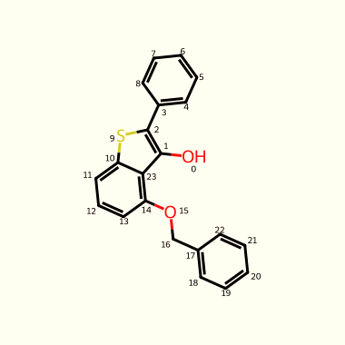 Oc1c(-c2ccccc2)sc2cccc(OCc3ccccc3)c12